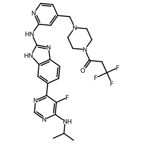 CC(C)Nc1ncnc(-c2ccc3nc(Nc4cc(CN5CCN(C(=O)CC(F)(F)F)CC5)ccn4)[nH]c3c2)c1F